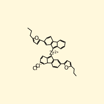 CCCc1ccc(-c2ccc3c(c2)[C]([Zr+2][C]2=C4C=CC=CC4c4ccc(-c5ccc(CCC)o5)cc42)=C2C=CC=CC23)o1.[Cl-].[Cl-]